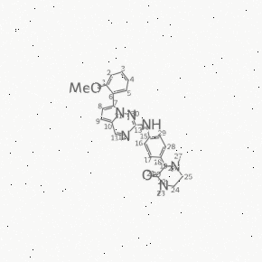 COc1ccccc1-c1ccc2cnc(Nc3ccc(C4C(=O)N(C)CCN4C)cc3)nn12